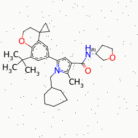 Cc1c(C(=O)N[C@@H]2CCOC2)cc(-c2cc(C(C)(C)C)c3c(c2)C2(CCO3)CC2)n1CC1CCCCC1